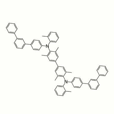 Cc1ccccc1N(c1ccc(-c2cccc(-c3ccccc3)c2)cc1)c1c(C)cc(-c2cc(C)c(N(c3ccc(-c4cccc(-c5ccccc5)c4)cc3)c3ccccc3C)c(C)c2)cc1C